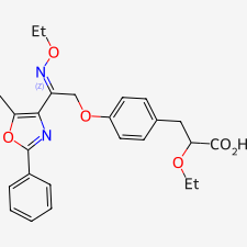 CCO/N=C(\COc1ccc(CC(OCC)C(=O)O)cc1)c1nc(-c2ccccc2)oc1C